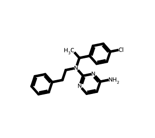 CC(c1ccc(Cl)cc1)N(CCc1ccccc1)c1nccc(N)n1